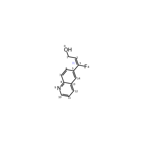 OC/C=C(/F)c1ccc2ncccc2c1